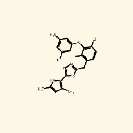 Cc1cc(C)c(-c2nnc(Cc3ccc(Cl)c(Oc4cc(N)cc(Cl)c4)c3F)o2)[nH]1